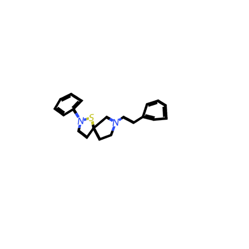 c1ccc(CCN2CCC3(CCN(c4ccccc4)S3)C2)cc1